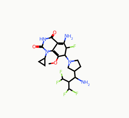 COC1=c2c(c(=O)[nH]c(=O)n2C2CC2)=C(N)C(F)C1N1CCC(C(N)C(C(F)F)C(F)F)C1